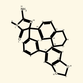 CN1C(=O)C(c2cccc(-c3ccc4c(c3)OCO4)c2)(c2ccc3c(c2)CCCC3)N=C1N